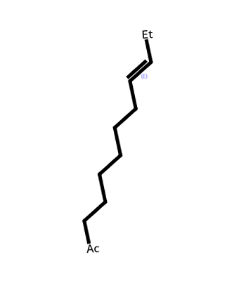 CC/C=C/CCCCCCC(C)=O